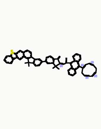 C=C1/C(=C\C(=C)c2c3ccccc3c(/C3=C/C=C\C/C=C\C=C/C3)c3ccccc23)C(C)(C)c2cc(-c3ccc4c(c3)-c3ccc5cc6sc7ccccc7c6cc5c3C4(C)C)ccc21